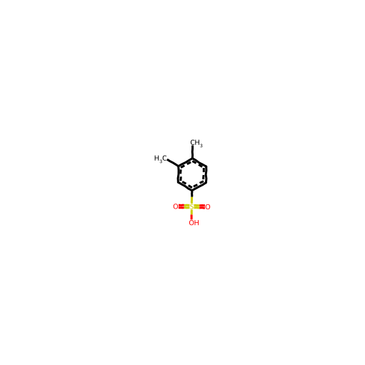 Cc1ccc(S(=O)(=O)O)cc1C